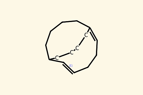 C1=C2CCCCC(/C=C/CC1)CCCC2